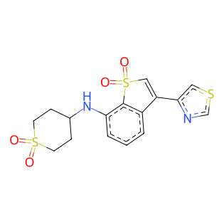 O=S1(=O)CCC(Nc2cccc3c2S(=O)(=O)C=C3c2cscn2)CC1